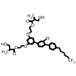 C=C(CO)C(=O)OCCOc1cc(OCCOC(=O)C(=C)CO)cc(-c2ccc(-c3ccc(CCCCCC(F)(F)F)cc3)c(CC)c2)c1